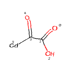 O=C(O)[C](=O)[Gd]